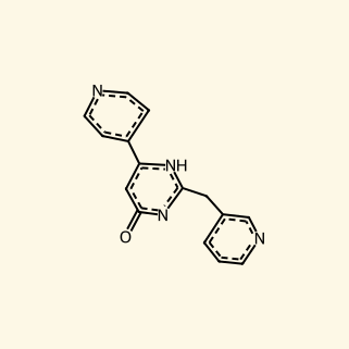 O=c1cc(-c2ccncc2)[nH]c(Cc2cccnc2)n1